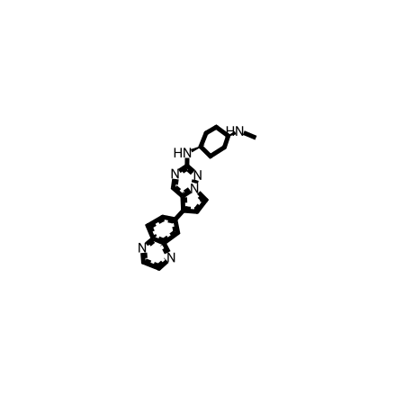 CN[C@H]1CC[C@@H](Nc2ncc3c(-c4ccc5nccnc5c4)ccn3n2)CC1